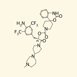 CN1CCCN(C2CCN(C(=O)[C@@H](Cc3cc(C(F)(F)F)c(N)c(C(F)(F)F)c3)OC(=O)N3CCC4(CC3)OC(=O)Nc3ccccc34)CC2)CC1